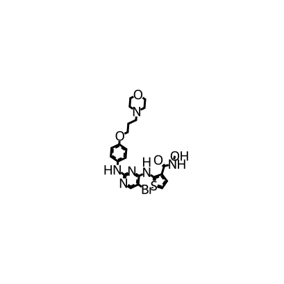 O=C(NO)c1ccsc1Nc1nc(Nc2ccc(OCCCN3CCOCC3)cc2)ncc1Br